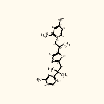 Cc1cc(C(C)(C)Cc2nnc(C(C)C[n+]3ccc(C(C)C)cc3C)o2)ncn1